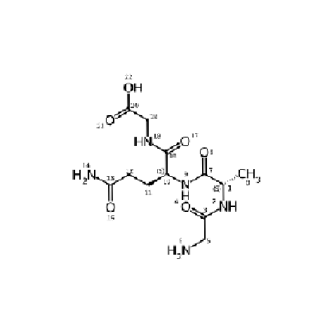 C[C@H](NC(=O)CN)C(=O)N[C@@H](CCC(N)=O)C(=O)NCC(=O)O